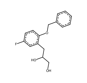 OCC(O)Cc1cc(F)ccc1OCc1ccccc1